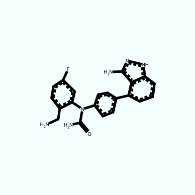 NCc1ccc(F)cc1N(C(N)=O)c1ccc(-c2cccc3[nH]nc(N)c23)cc1